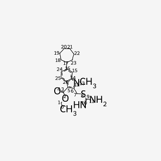 CCOC(=O)c1c(CSC(=N)N)n(C)c2cc(C3CCCCCC3)ccc12